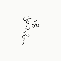 C=C(C)C(=O)OC.C=C(C)C(=O)OCC1CO1.C=C(C)C(=O)OCCCC